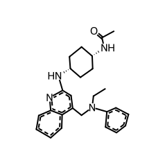 CCN(Cc1cc(N[C@H]2CC[C@@H](NC(C)=O)CC2)nc2ccccc12)c1ccccc1